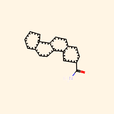 NC(=O)c1ccc2ccc3c4ccccc4ccc3c2c1